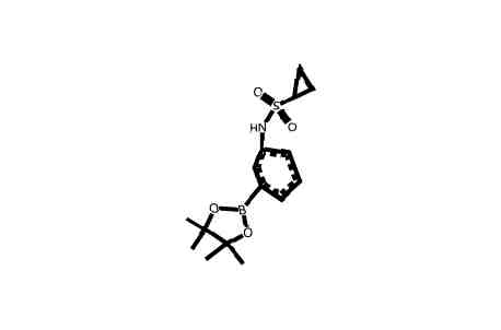 CC1(C)OB(c2cccc(NS(=O)(=O)C3CC3)c2)OC1(C)C